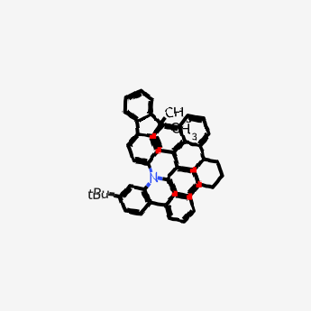 CC(C)(C)c1ccc(-c2ccccc2)c(N(c2ccc3c(c2)C(C)(C)c2ccccc2-3)c2ccccc2-c2cccc3cccc(C4CCCCC4)c23)c1